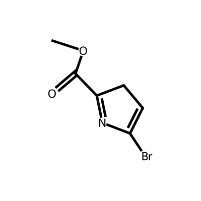 COC(=O)C1=NC(Br)=CC1